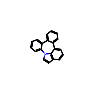 c1ccc2c(c1)-c1ccccc1-n1ccc3cccc-2c31